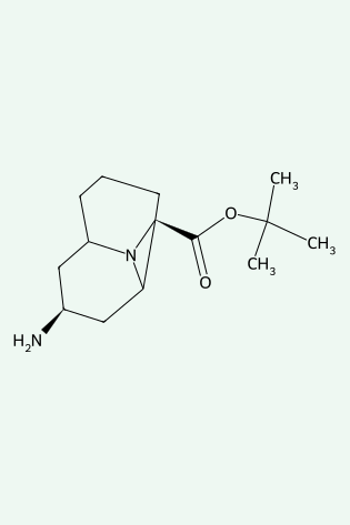 CC(C)(C)OC(=O)[C@@]12CCCC3C[C@H](N)CC1N32